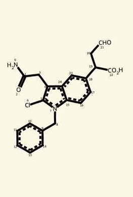 NC(=O)Cc1c(Cl)n(Cc2ccccc2)c2ccc(C(CC=O)C(=O)O)cc12